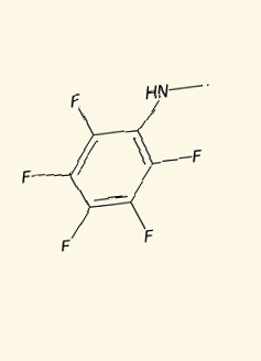 [CH2]Nc1c(F)c(F)c(F)c(F)c1F